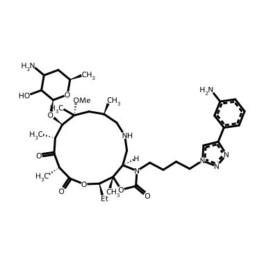 CC[C@H]1OC(=O)[C@H](C)C(=O)[C@H](C)[C@@H](O[C@@H]2O[C@H](C)CC(N)C2O)[C@](C)(OC)C[C@@H](C)CNC[C@H]2N(CCCCn3cc(-c4cccc(N)c4)nn3)C(=O)O[C@]12C